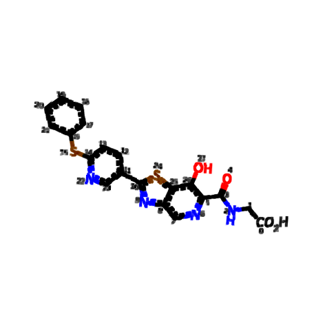 O=C(O)CNC(=O)c1ncc2nc(-c3ccc(Sc4ccccc4)nc3)sc2c1O